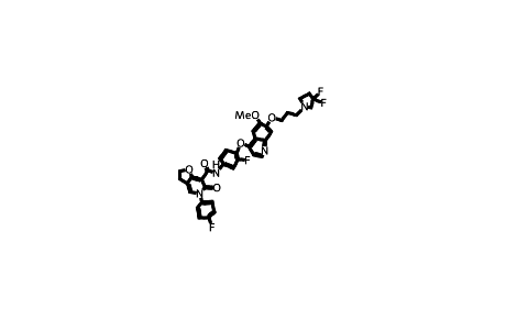 COc1cc2c(Oc3ccc(NC(=O)c4c5c(cn(-c6ccc(F)cc6)c4=O)CCO5)cc3F)ccnc2cc1OCCCN1CCC(F)(F)C1